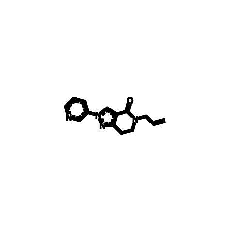 C=CCN1CCc2nn(-c3cccnc3)cc2C1=O